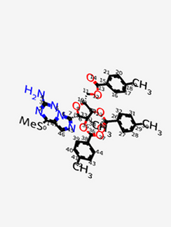 CSc1nc(N)nn2c([C@@H]3O[C@H](COC(=O)c4ccc(C)cc4)[C@@H](OC(=O)c4ccc(C)cc4)[C@@]3(C)OC(=O)c3ccc(C)cc3)ncc12